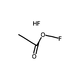 CC(=O)OF.F